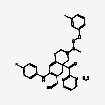 Cc1cccc(OSN(C)N2CCC3=CC(Nc4ccc(F)cc4)=C(C=N)CC3(C(=O)c3ncccn3)C2)c1.S